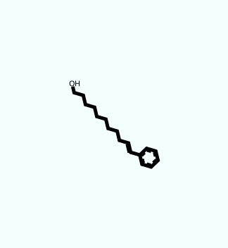 OCCCCCCCCCC=Cc1ccccc1